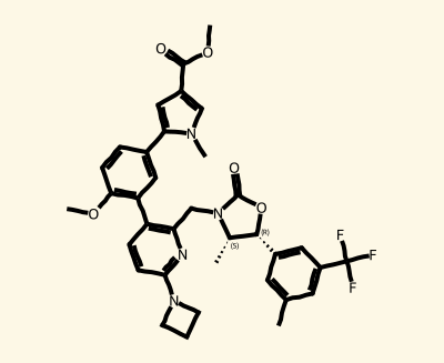 COC(=O)c1cc(-c2ccc(OC)c(-c3ccc(N4CCC4)nc3CN3C(=O)O[C@H](c4cc(C)cc(C(F)(F)F)c4)[C@@H]3C)c2)n(C)c1